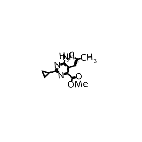 COC(=O)c1nc(C2CC2)nc(N)c1C=C(C)C